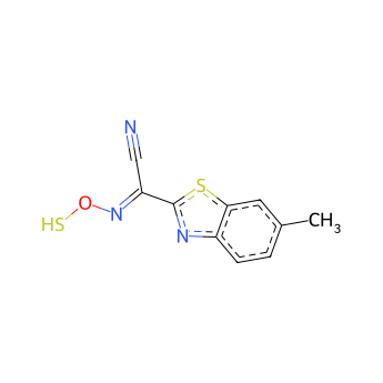 Cc1ccc2nc(/C(C#N)=N/OS)sc2c1